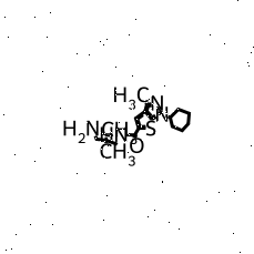 Cc1nn(C2CCCCC2)c2sc(C(=O)NCC(C)(C)CN)cc12